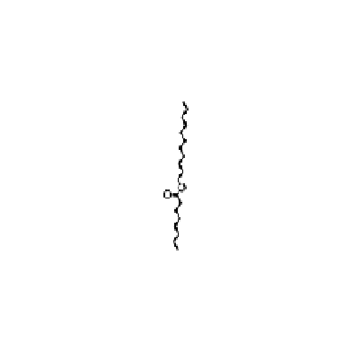 CCCCCCCCCCCOC(=O)CCCCCCC